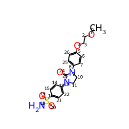 COCCOc1ccc(N2CCN(c3ccc(S(N)(=O)=O)cc3)C2=O)cc1